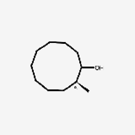 C[C@H]1CCCCCCCCC1O